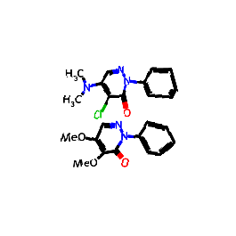 CN(C)c1cnn(-c2ccccc2)c(=O)c1Cl.COc1cnn(-c2ccccc2)c(=O)c1OC